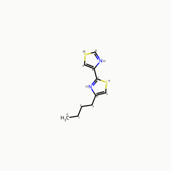 CCCCc1csc(-c2cscn2)n1